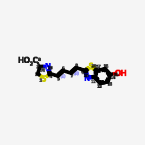 O=C(O)[C@H]1CSC(/C=C/C=C/c2nc3ccc(O)cc3s2)=N1